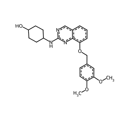 COc1ccc(COc2cccc3cnc(NC4CCC(O)CC4)nc23)cc1OC